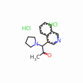 CC(=O)C(c1cncc2ccccc12)N1CCCC1.Cl.Cl